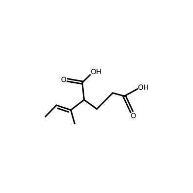 C/C=C(\C)C(CCC(=O)O)C(=O)O